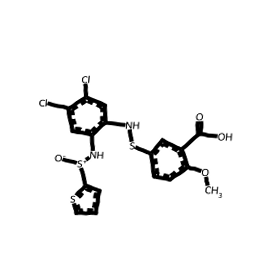 COc1ccc(SNc2cc(Cl)c(Cl)cc2N[S+]([O-])c2cccs2)cc1C(=O)O